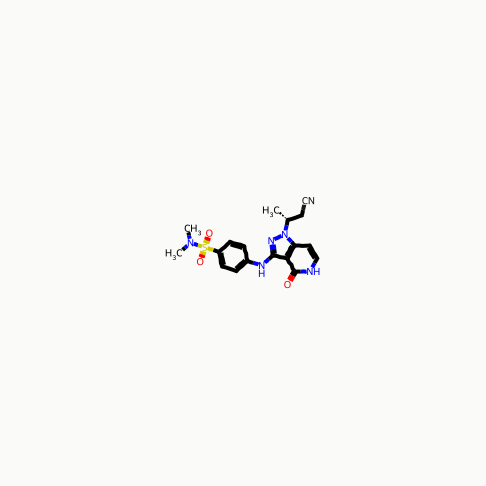 C[C@H](CC#N)n1nc(Nc2ccc(S(=O)(=O)N(C)C)cc2)c2c(=O)[nH]ccc21